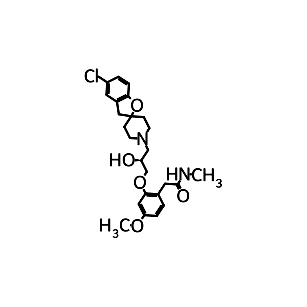 CNC(=O)Cc1ccc(OC)cc1OC[C@@H](O)CN1CCC2(CC1)Cc1cc(Cl)ccc1O2